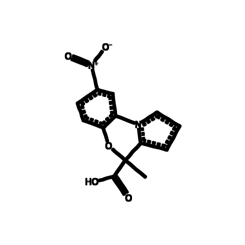 CC1(C(=O)O)Oc2ccc([N+](=O)[O-])cc2-n2cccc21